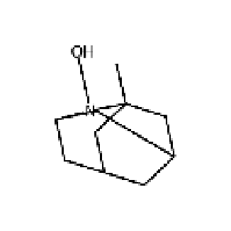 CC12CC3CC(CC(C3)N1O)C2